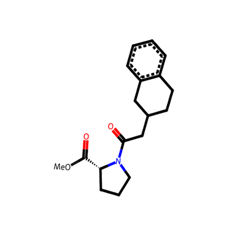 COC(=O)[C@H]1CCCN1C(=O)CC1CCc2ccccc2C1